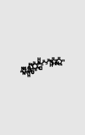 O=S(=O)(Nc1ncns1)c1cc(Cl)c(NCCCCNC[C@H]2CCCN2)cc1F